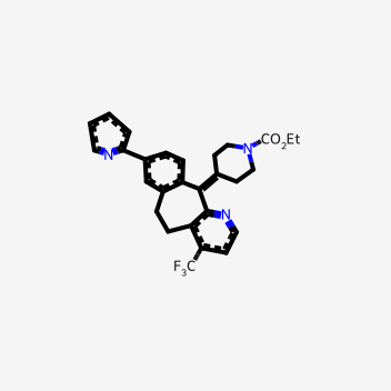 CCOC(=O)N1CCC(=C2c3ccc(-c4ccccn4)cc3CCc3c(C(F)(F)F)ccnc32)CC1